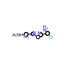 CC(=O)Nc1ccc(-c2cnn(C3CCc4cc(-c5cc(Cl)ccc5N)cnc43)c2)c(F)n1